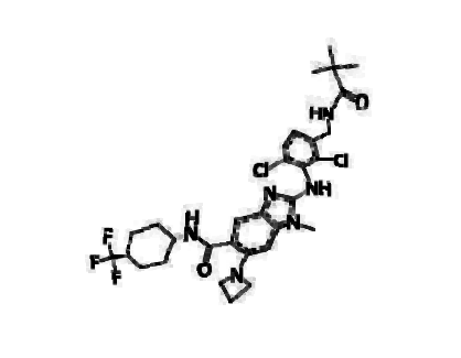 Cn1c(Nc2c(Cl)ccc(CNC(=O)C(C)(C)C)c2Cl)nc2cc(C(=O)N[C@H]3CC[C@H](C(F)(F)F)CC3)c(N3CCC3)cc21